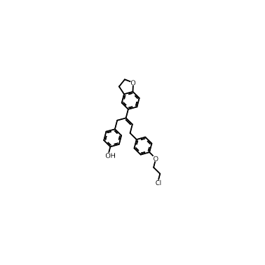 Oc1ccc(CC(=CCc2ccc(OCCCl)cc2)c2ccc3c(c2)CCO3)cc1